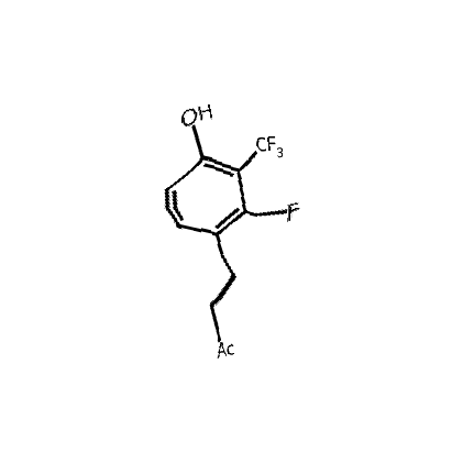 CC(=O)CCc1ccc(O)c(C(F)(F)F)c1F